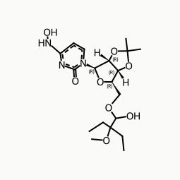 CCC(CC)(OC)C(O)OC[C@H]1O[C@@H](n2ccc(NO)nc2=O)[C@@H]2OC(C)(C)O[C@@H]21